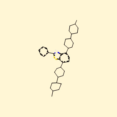 CC1CCC(C2CCC(c3ccc(C4CCC(C5CCC(C)CC5)CC4)c4sc(-c5ccccc5)nc34)CC2)CC1